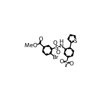 COC(=O)c1ccc(Br)c(S(=O)(=O)Nc2cc(S(C)(=O)=O)ccc2-c2cccs2)c1